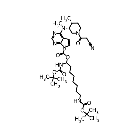 C[C@@H]1CCN(C(=O)CC#N)C[C@@H]1N(C)c1ncnc2c1ccn2C(=O)OC(CCCCCCCNC(=O)OC(C)(C)C)NC(=O)OC(C)(C)C